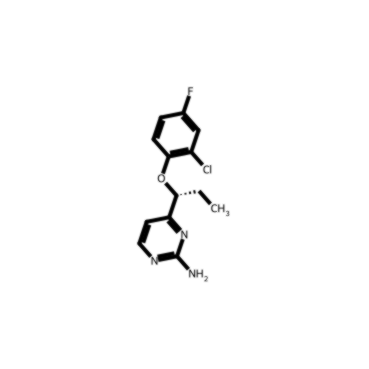 CC[C@@H](Oc1ccc(F)cc1Cl)c1ccnc(N)n1